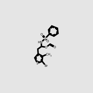 Cc1c(CC(NS(=O)(=O)c2ccccc2)OC=O)csc1Br